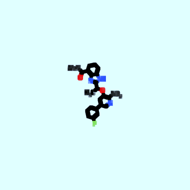 CNC(=O)c1cccc2[nH]c(C(C)Oc3cc(-c4cccc(F)c4)cnc3[N+](=O)[O-])nc12